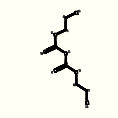 O=C(OCCCl)OC(=O)OCCCl